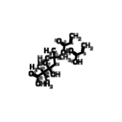 C=CC(=O)O.C=CC(=O)O.CC(C)(C)CC(O)(O)C(C)(C)C(=O)O